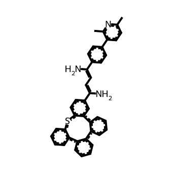 Cc1ccc(-c2ccc(/C(N)=C/C=C(\N)c3ccc4sc5ccccc5c5ccccc5c5ccccc5c4c3)cc2)c(C)n1